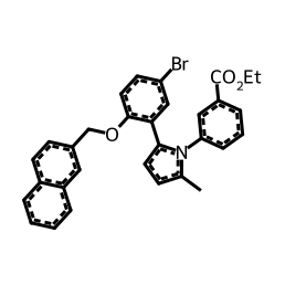 CCOC(=O)c1cccc(-n2c(C)ccc2-c2cc(Br)ccc2OCc2ccc3ccccc3c2)c1